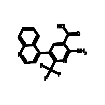 Nc1nc(C(F)(F)F)c(-c2ccnc3ccccc23)cc1C(=O)O